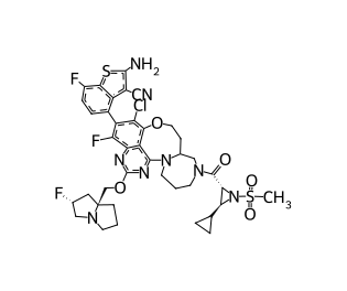 CS(=O)(=O)N1[C@@H](C(=O)N2CCCN3c4nc(OC[C@@]56CCCN5C[C@H](F)C6)nc5c(F)c(-c6ccc(F)c7sc(N)c(C#N)c67)c(Cl)c(c45)OCCC3C2)[C@@H]1C1CC1